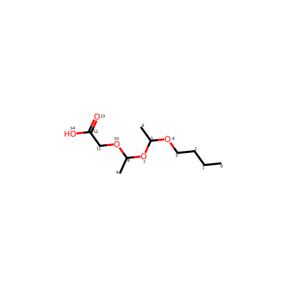 CCCCOC(C)OC(C)OCC(=O)O